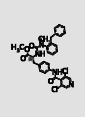 COC(=O)[C@H](Cc1ccc(NC(=O)c2c(Cl)cncc2Cl)cc1)NC(=O)N(C)c1ccccc1Cc1ccccc1